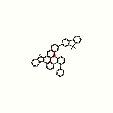 CC1(C)c2ccccc2-c2ccc(-c3cccc(N(c4ccc5c(c4)sc4ccccc45)c4cccc(-c5ccccc5)c4-c4ccccc4-c4ccccc4)c3)cc21